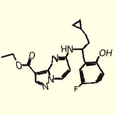 CCOC(=O)c1cnn2ccc(NC(CC3CC3)c3cc(F)ccc3O)nc12